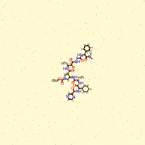 CCC[C@H](NC(=O)[C@@H](NC(=O)c1cnccn1)C1CCCCC1)C(=O)N[C@H]1CN(C(=O)OC(C)(C)C)C[C@H]1C(=O)N[C@@H](CCC)C(=O)C(=O)NCC(=O)N[C@H](C(=O)N(C)C)c1ccccc1